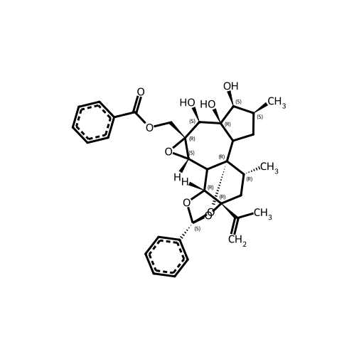 C=C(C)[C@]12C[C@@H](C)[C@@]34O[C@](c5ccccc5)(O[C@@H]1C3[C@@H]1O[C@]1(COC(=O)c1ccccc1)[C@@H](O)[C@@]1(O)C4C[C@H](C)[C@@H]1O)O2